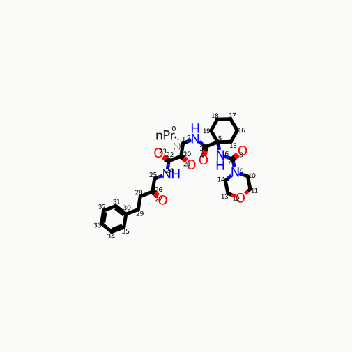 CCC[C@H](NC(=O)C1(NC(=O)N2CCOCC2)CCCCC1)C(=O)C(=O)NCC(=O)CCc1ccccc1